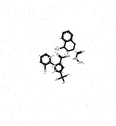 CNC(=O)[C@H]1Cc2ccccc2C(C)[C@H]1NC(=O)c1cc(C(F)(F)F)nn1-c1ncccc1Cl